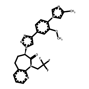 COc1cc(-c2cn([C@@H]3CCc4cccnc4N(CC(F)(F)F)C3=O)nn2)ccc1-n1cnc(C)c1